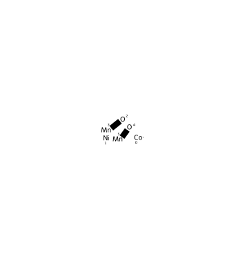 [Co].[Ni].[O]=[Mn].[O]=[Mn]